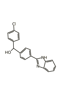 OC(c1ccc(Cl)cc1)c1ccc(-c2nc3ccccc3[nH]2)cc1